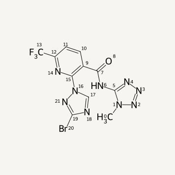 Cn1nnnc1NC(=O)c1ccc(C(F)(F)F)nc1-n1cnc(Br)n1